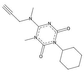 C#CCN(C)c1nc(=O)n(C2CCCCC2)c(=O)n1C